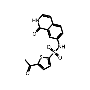 CC(=O)c1ccc(S(=O)(=O)Nc2ccc3cc[nH]c(=O)c3c2)s1